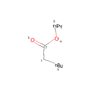 [CH2]CCCCC(=O)OCCC